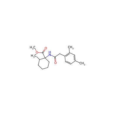 COC(=O)C1(NC(=O)Cc2ccc(C)cc2C)CCCCC1C